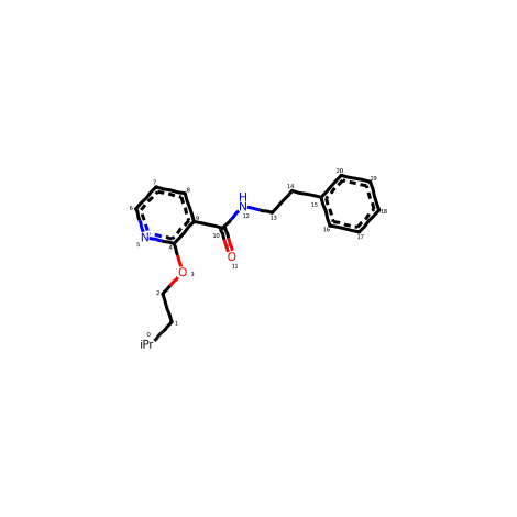 CC(C)CCOc1ncccc1C(=O)NCCc1ccccc1